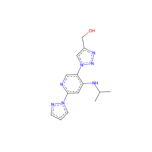 CC(C)Nc1cc(-n2cccn2)ncc1-n1cc(CO)nn1